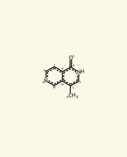 Cc1c[nH]c(=O)c2ccncc12